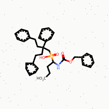 O=C(O)CCC(NC(=O)OCc1ccccc1)P(=O)(O)CC(CCc1ccccc1)(CCc1ccccc1)c1ccccc1